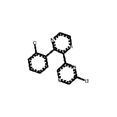 Clc1cncc(-c2nccnc2-c2ccccc2Cl)n1